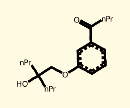 CCCC(=O)c1cccc(OCC(O)(CCC)CCC)c1